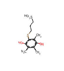 Cc1c(C)c(O)c(SCCCS(=O)(=O)O)c(C)c1O